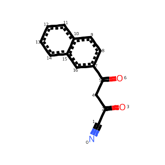 N#CC(=O)CC(=O)c1ccc2ccccc2c1